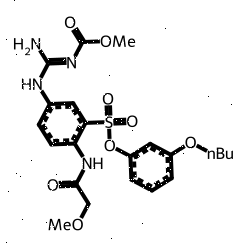 CCCCOc1cccc(OS(=O)(=O)c2cc(NC(N)=NC(=O)OC)ccc2NC(=O)COC)c1